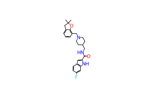 CC1(C)Cc2cccc(CN3CCC(CNC(=O)c4cc5ccc(F)cc5[nH]4)CC3)c2O1